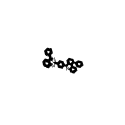 c1ccc(-c2nc(-c3ccc(-c4nc5ccccc5c5c(-c6ccccc6)cccc45)cc3)nc3ccccc23)cc1